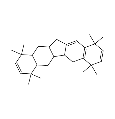 CC1(C)C=CC(C)(C)C2=C1C=C1CC3CC4C(CC3C1C2)C(C)(C)C=CC4(C)C